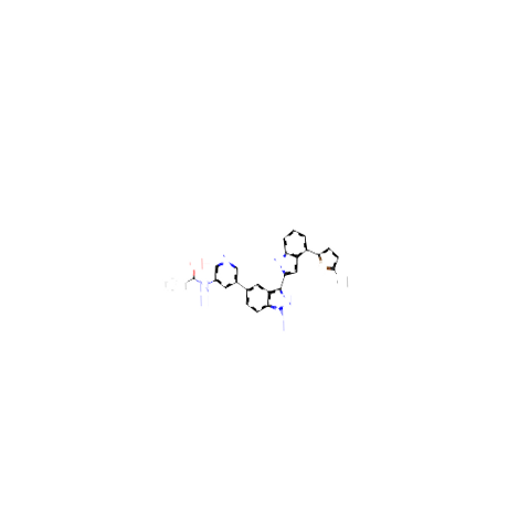 Cc1ccc(-c2cccc3[nH]c(-c4n[nH]c5ccc(-c6cncc(NC(O)C(C)(C)C)c6)cc45)cc23)s1